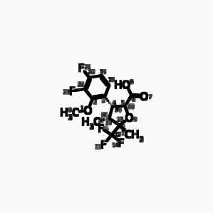 COc1c([C@@H]2[C@@H](C(=O)O)O[C@](C)(C(F)(F)F)[C@@H]2C)ccc(F)c1F